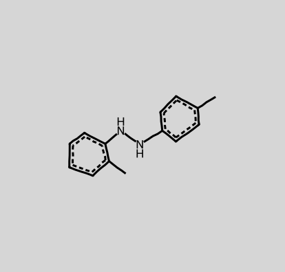 Cc1ccc(NNc2ccccc2C)cc1